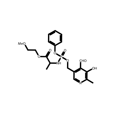 COCCOC(=O)C(C)NP(=O)(OCc1cnc(C)c(O)c1C=O)Oc1ccccc1